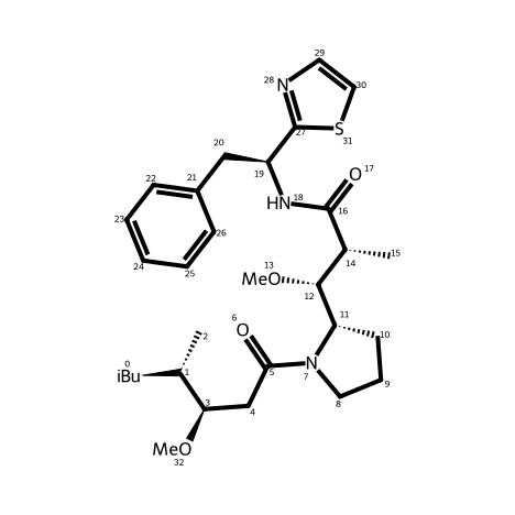 CC[C@H](C)[C@H](C)[C@@H](CC(=O)N1CCC[C@H]1[C@H](OC)[C@@H](C)C(=O)N[C@@H](Cc1ccccc1)c1nccs1)OC